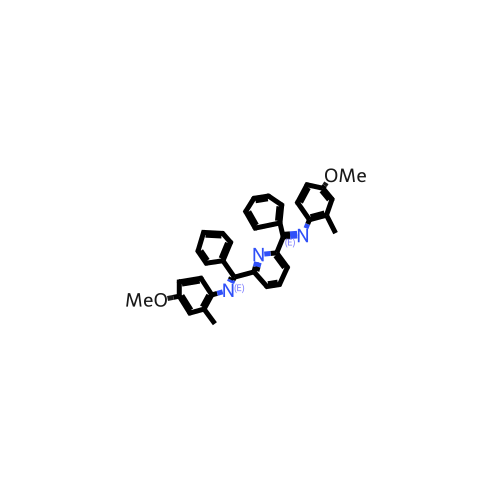 COc1ccc(/N=C(\c2ccccc2)c2cccc(/C(=N/c3ccc(OC)cc3C)c3ccccc3)n2)c(C)c1